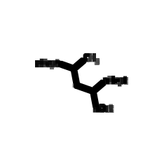 CCCCCCCCC([CH]C(C)CCCCCCC)CCCCCCC